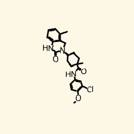 COc1ccc(NC(=O)C2(C)CCC(N3Cc4c(C)cccc4NC3=O)CC2)cc1Cl